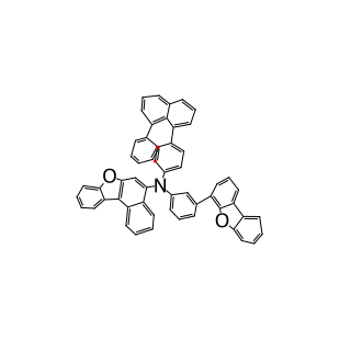 c1ccc(-c2cccc3cccc(-c4ccc(N(c5cccc(-c6cccc7c6oc6ccccc67)c5)c5cc6oc7ccccc7c6c6ccccc56)cc4)c23)cc1